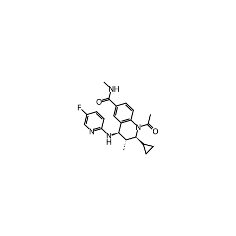 CNC(=O)c1ccc2c(c1)[C@H](Nc1ccc(F)cn1)[C@@H](C)[C@H](C1CC1)N2C(C)=O